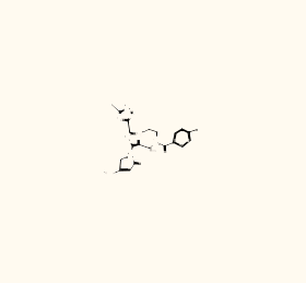 COC1=CC(=O)N(c2nc(-c3nc(C)ns3)n3c2[C@@H](C)N(C(=O)c2ccc(F)cc2)CC3)C1